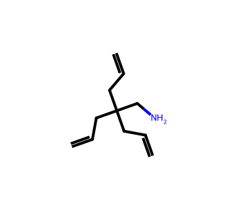 C=CCC(CN)(CC=C)CC=C